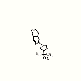 CC(C)(C)C1CCN(c2ncc3c(n2)CCOC3)C1